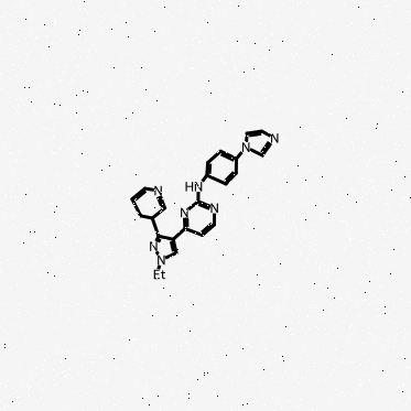 CCn1cc(-c2ccnc(Nc3ccc(-n4ccnc4)cc3)n2)c(C2C=NC=CC2)n1